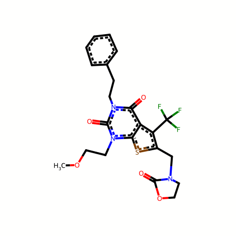 COCCn1c(=O)n(CCc2ccccc2)c(=O)c2c(C(F)(F)F)c(CN3CCOC3=O)sc21